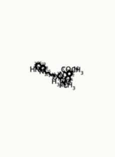 Cc1cc2c(c([C@@H](C(=O)O)N3CC[C@@H](OCCCCc4ccc5c(n4)NCCC5)C3)c1)CC(C(C)(C)F)OC2